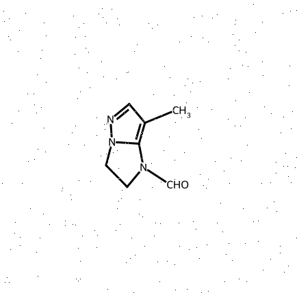 Cc1cnn2c1N(C=O)CC2